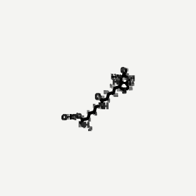 NC(CCCCNC(=O)CCCCC1SC[C@@H]2NC(=O)N[C@H]12)OC=O